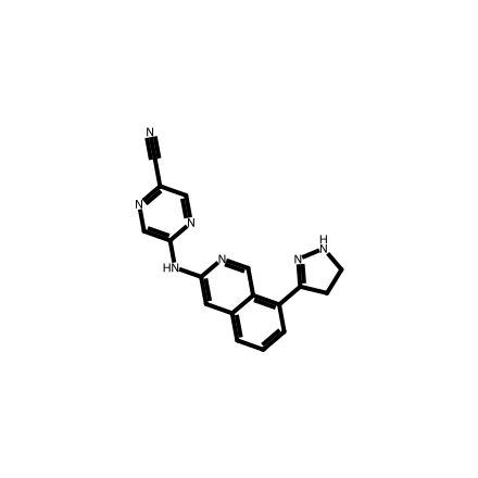 N#Cc1cnc(Nc2cc3cccc(C4=NNCC4)c3cn2)cn1